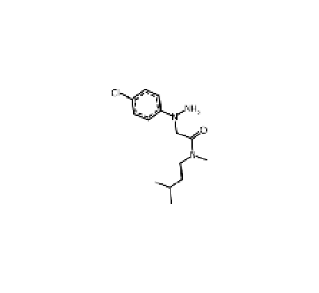 CC(C)CCN(C)C(=O)CN(N)c1ccc(Cl)cc1